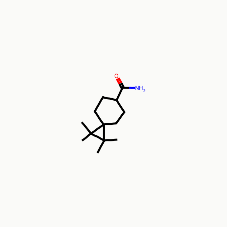 CC1(C)C(C)(C)C12CCC(C(N)=O)CC2